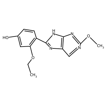 CCOc1cc(O)ccc1-c1nc2cnc(OC)nc2[nH]1